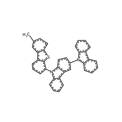 Cc1ccc2sc3c(-n4c5ccccc5c5cc(-n6c7ccccc7c7ccccc76)ccc54)cccc3c2c1